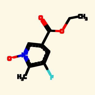 CCOC(=O)c1cc(F)c(C)[n+]([O-])c1